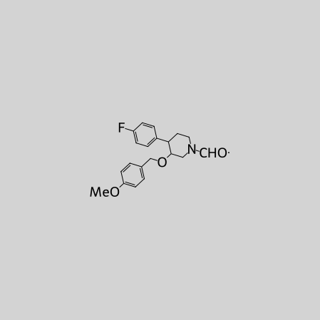 COc1ccc(COC2CN([C]=O)CCC2c2ccc(F)cc2)cc1